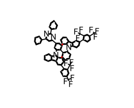 FC(F)(F)c1ccc(-c2ccc3c(c2)c2ccccc2n3-c2ccccc2-c2ccc(-c3cc(-c4ccccc4)nc(-c4ccccc4)n3)cc2-n2c3ccccc3c3cc(-c4ccc(C(F)(F)F)cc4C(F)(F)F)ccc32)c(C(F)(F)F)c1